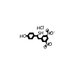 Cl.O=[N+]([O-])c1cc(CC(S)c2ccc(O)cc2)cc([N+](=O)[O-])c1